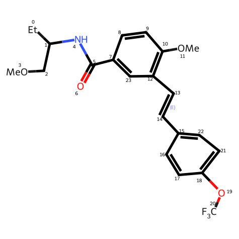 CCC(COC)NC(=O)c1ccc(OC)c(/C=C/c2ccc(OC(F)(F)F)cc2)c1